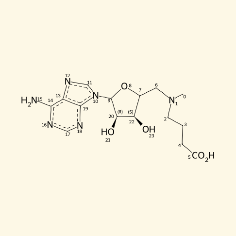 CN(CCCC(=O)O)CC1OC(n2cnc3c(N)ncnc32)[C@H](O)[C@@H]1O